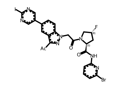 CC(=O)c1nn(CC(=O)N2C[C@H](F)C[C@H]2C(=O)Nc2cccc(Br)n2)c2ccc(-c3cnc(I)nc3)cc12